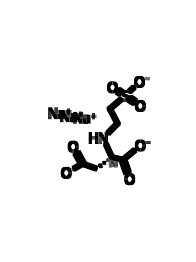 O=C([O-])C[C@H](NCCS(=O)(=O)[O-])C(=O)[O-].[Na+].[Na+].[Na+]